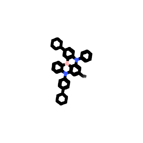 CC(C)c1cc2c3c(c1)N(c1ccccc1)c1ccc(C4CCCCC4)cc1B3c1ccccc1N2c1ccc(C2CCCCC2)cc1